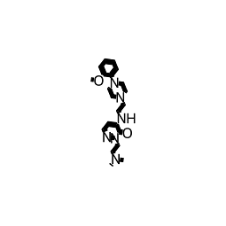 COc1ccccc1N1CCN(CCNc2ccnn(CCN(C)C)c2=O)CC1